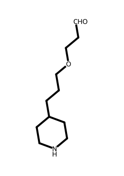 O=CCCOCCCC1CCNCC1